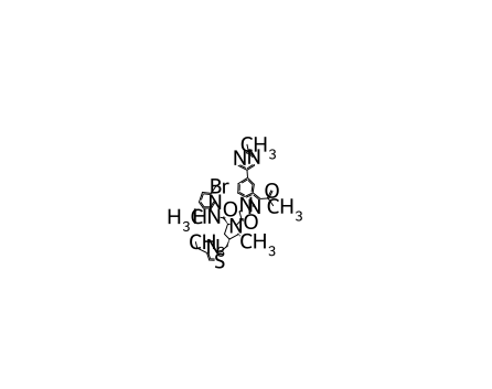 CCc1csc(C[C@H]2C[C@@H](C(=O)Nc3nc(Br)ccc3C)N(C(=O)Cn3nc(C(C)=O)c4cc(-c5cnc(C)nc5)ccc43)[C@@H]2C)n1